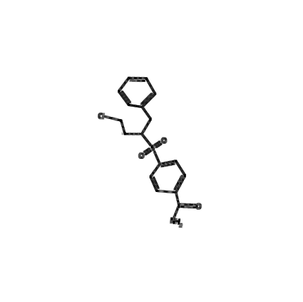 NC(=O)c1ccc(S(=O)(=O)C([CH]CCl)Cc2ccccc2)cc1